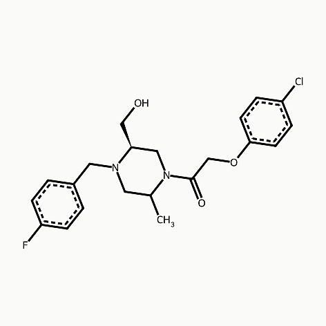 CC1CN(Cc2ccc(F)cc2)[C@@H](CO)CN1C(=O)COc1ccc(Cl)cc1